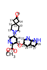 COC(=O)c1ncc(N2CCC3(CC2)CC(=O)C3)cc1Oc1cnc2[nH]ccc2c1